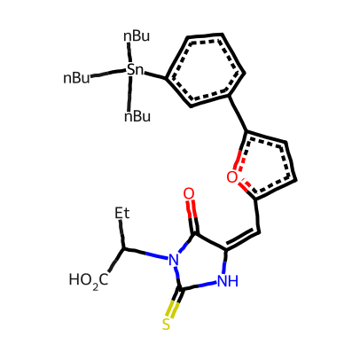 CCC[CH2][Sn]([CH2]CCC)([CH2]CCC)[c]1cccc(-c2ccc(C=C3NC(=S)N(C(CC)C(=O)O)C3=O)o2)c1